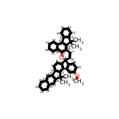 COc1ccc(C2(c3ccc4c(c3)C(C)(C)c3cc5ccccc5cc3-4)C=Cc3c4c(c5ccccc5c3O2)-c2ccccc2C4(C)C)cc1